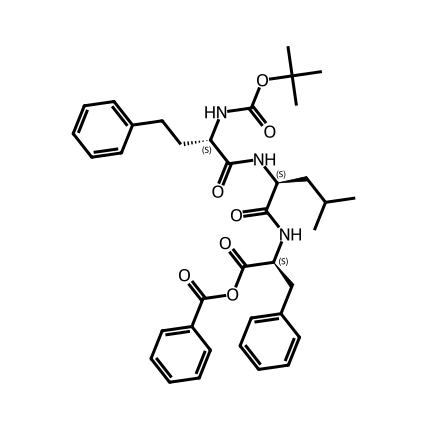 CC(C)C[C@H](NC(=O)[C@H](CCc1ccccc1)NC(=O)OC(C)(C)C)C(=O)N[C@@H](Cc1ccccc1)C(=O)OC(=O)c1ccccc1